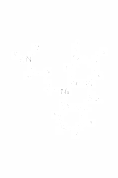 Cc1cc2c(cc1C)N(CCCN(C)C)c1ccccc1S2